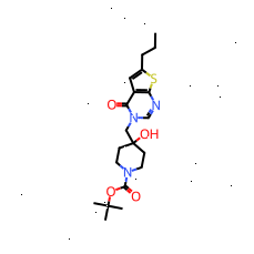 CCCc1cc2c(=O)n(CC3(O)CCN(C(=O)OC(C)(C)C)CC3)cnc2s1